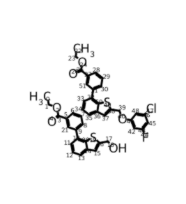 CCOC(=O)c1cccc(-c2cccc3cc(CO)sc23)c1.CCOC(=O)c1cccc(-c2cccc3cc(COc4cc(F)cc(Cl)c4)sc23)c1